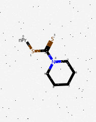 CCCSC(=S)N1CCCCC1